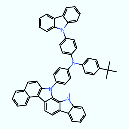 CC(C)(C)c1ccc(N(c2ccc(-n3c4ccccc4c4ccccc43)cc2)c2ccc(-n3c4ccc5ccccc5c4c4ccc5c6ccccc6[nH]c5c43)cc2)cc1